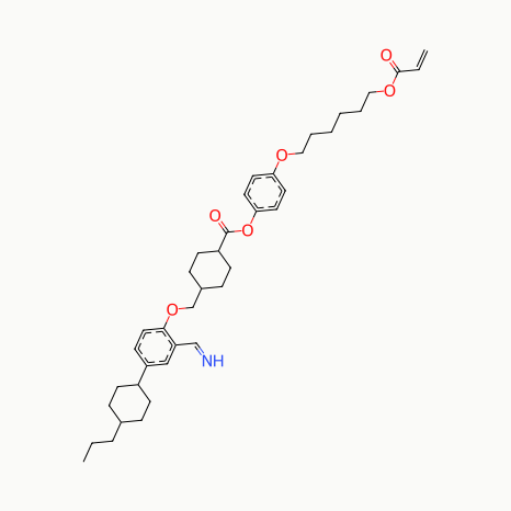 C=CC(=O)OCCCCCCOc1ccc(OC(=O)C2CCC(COc3ccc(C4CCC(CCC)CC4)cc3C=N)CC2)cc1